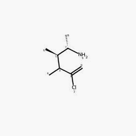 C=C(Cl)C(C)[C@@H](C)[C@H](C)N